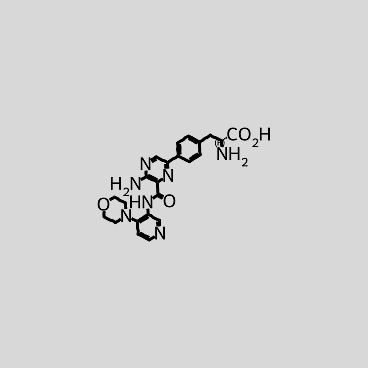 Nc1ncc(-c2ccc(C[C@@H](N)C(=O)O)cc2)nc1C(=O)Nc1cnccc1N1CCOCC1